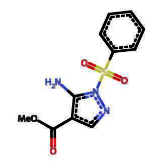 COC(=O)c1cnn(S(=O)(=O)c2ccccc2)c1N